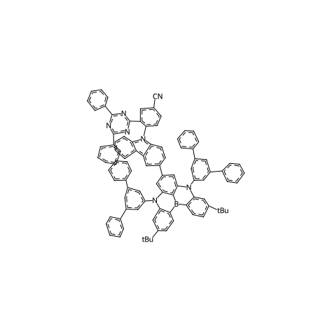 CC(C)(C)c1ccc2c(c1)N(c1cc(-c3ccccc3)cc(-c3ccccc3)c1)c1cc(-c3ccc4c(c3)c3ccccc3n4-c3ccc(C#N)cc3-c3nc(-c4ccccc4)nc(-c4ccccc4)n3)cc3c1B2c1ccc(C(C)(C)C)cc1N3c1cc(-c2ccccc2)cc(-c2ccccc2)c1